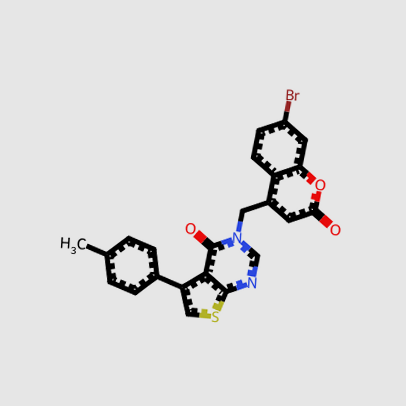 Cc1ccc(-c2csc3ncn(Cc4cc(=O)oc5cc(Br)ccc45)c(=O)c23)cc1